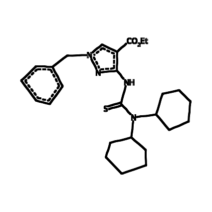 CCOC(=O)c1cn(Cc2ccccc2)nc1NC(=S)N(C1CCCCC1)C1CCCCC1